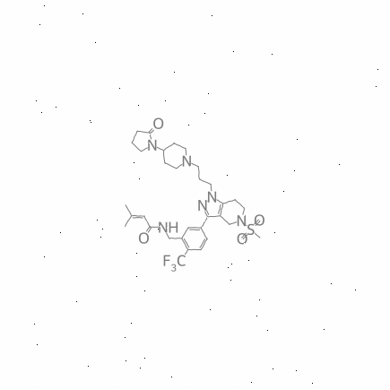 CC(C)=CC(=O)NCc1cc(-c2nn(CCCN3CCC(N4CCCC4=O)CC3)c3c2CN(S(C)(=O)=O)CC3)ccc1C(F)(F)F